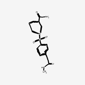 CNC(=O)c1ccc(S(=O)(=O)N2CC=C(C(N)=O)C2)cc1